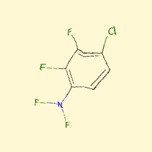 Fc1c(Cl)ccc(N(F)F)c1F